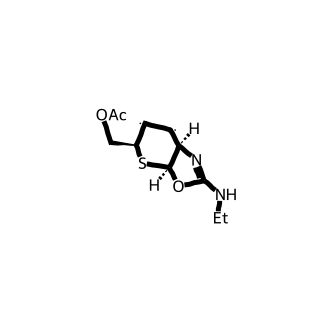 CCNC1=N[C@@H]2[CH][CH][C@H](COC(C)=O)S[C@@H]2O1